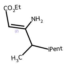 CCCC(C)C(C)/C(N)=C/C(=O)OCC